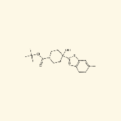 Cc1ccc2cc(C3(O)CCN(C(=O)OC(C)(C)C)CC3)sc2c1